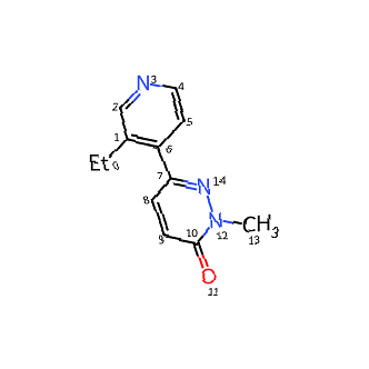 CCc1cnccc1-c1ccc(=O)n(C)n1